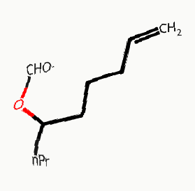 C=CCCCC(CCC)O[C]=O